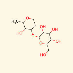 CC1OCCC(OC2OC(CO)C(O)C(O)C2O)C1O